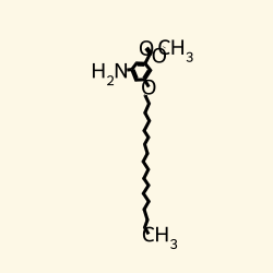 CCCCCCCCCCCCCCCCCCOc1cc(N)cc(C(=O)OC)c1